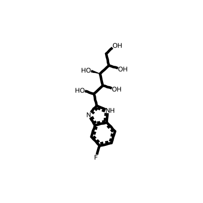 OCC(O)[C@H](O)C(O)C(O)c1nc2cc(F)ccc2[nH]1